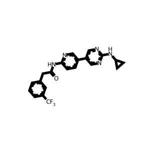 O=C(Cc1cccc(C(F)(F)F)c1)Nc1ccc(-c2cnc(NC3CC3)nc2)cn1